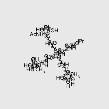 CC(=O)NC1[C@H](OCCCNC(=O)CCOCC(COCCC(=O)NCCCO[C@@H]2OC(CO)[C@H](O)[C@H](O)C2C)(COCCC(=O)NCCCO[C@@H]2OC(CO)[C@H](O)[C@H](O)C2C)NC(=O)CCCC(=O)NCCCOC(C)C)OC(CO)[C@H](O)[C@@H]1O